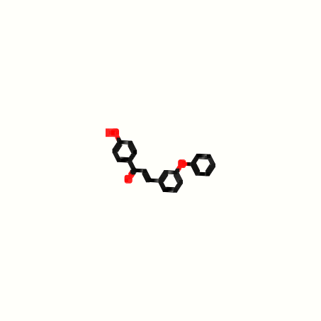 O=C(/C=C/c1cccc(Oc2ccccc2)c1)c1ccc(O)cc1